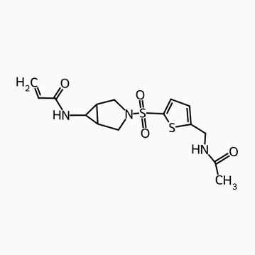 C=CC(=O)NC1C2CN(S(=O)(=O)c3ccc(CNC(C)=O)s3)CC21